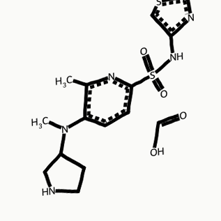 Cc1nc(S(=O)(=O)Nc2cscn2)ccc1N(C)C1CCNC1.O=CO